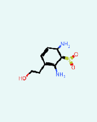 NC1=C(CCO)C=CC(N)C1=S(=O)=O